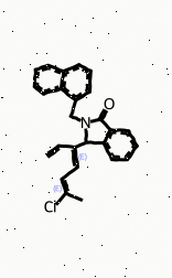 C=C/C(=C\C=C(/C)Cl)C1c2ccccc2C(=O)N1Cc1cccc2ccccc12